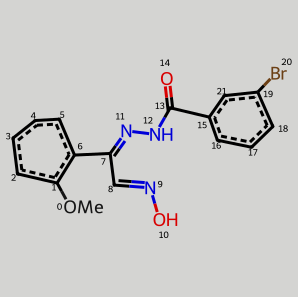 COc1ccccc1C(/C=N/O)=N/NC(=O)c1cccc(Br)c1